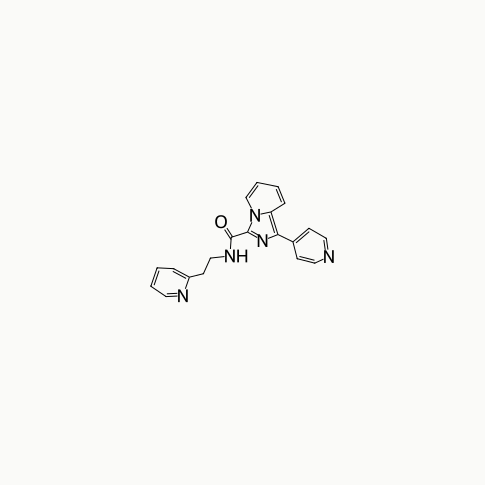 O=C(NCCc1ccccn1)c1nc(-c2ccncc2)c2ccccn12